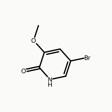 COc1cc(Br)c[nH]c1=O